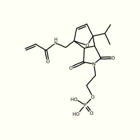 C=CC(=O)NCC12C=CC(C(C)C)(O1)C1C(=O)N(CCOP(=O)(O)O)C(=O)C12